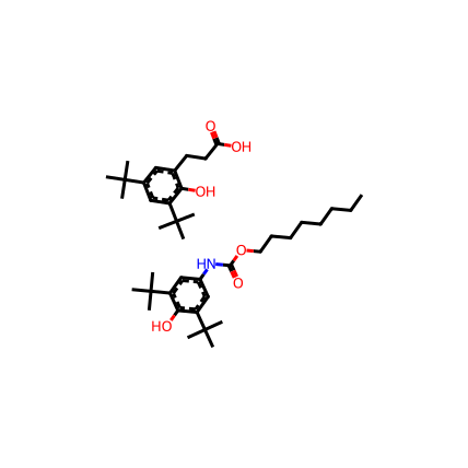 CC(C)(C)c1cc(CCC(=O)O)c(O)c(C(C)(C)C)c1.CCCCCCCCOC(=O)Nc1cc(C(C)(C)C)c(O)c(C(C)(C)C)c1